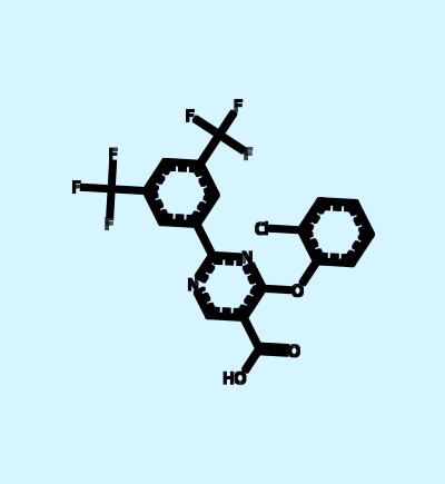 O=C(O)c1cnc(-c2cc(C(F)(F)F)cc(C(F)(F)F)c2)nc1Oc1ccccc1Cl